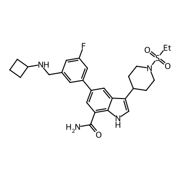 CCS(=O)(=O)N1CCC(c2c[nH]c3c(C(N)=O)cc(-c4cc(F)cc(CNC5CCC5)c4)cc23)CC1